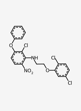 O=[N+]([O-])c1ccc(Oc2ccccc2)c(Cl)c1NCCOc1cc(Cl)ccc1Cl